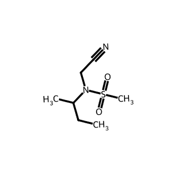 CCC(C)N(CC#N)S(C)(=O)=O